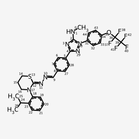 CNc1nc(-c2ccc(C=NN=C3SCCCN3c3ccccc3C(C)C)cc2)nn1-c1ccc(OC(F)(F)C(F)(F)F)cc1